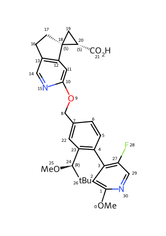 COc1cc(-c2ccc(COc3cc4c(cn3)CC[C@@]43C[C@@H]3C(=O)O)cc2[C@H](OC)C(C)(C)C)c(F)cn1